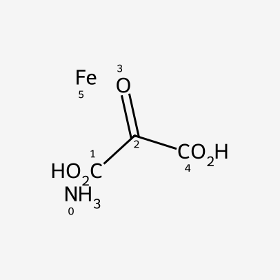 N.O=C(O)C(=O)C(=O)O.[Fe]